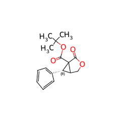 CC(C)(C)OC(=O)C12C(=O)OCC1[C@@H]2c1ccccc1